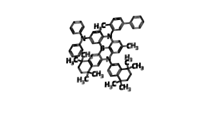 Cc1cc2c3c(c1)N(c1cc(-c4ccccc4)ccc1C)c1ccc(N(c4ccccc4)c4ccccc4)cc1B3c1cc3c(cc1N2c1ccc2c(c1)C(C)(C)CCC2(C)C)C(C)(C)CCC3(C)C